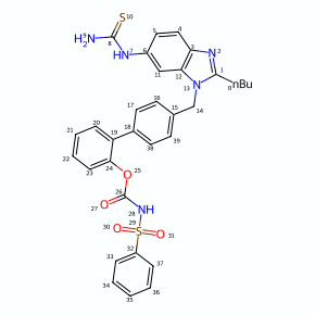 CCCCc1nc2ccc(NC(N)=S)cc2n1Cc1ccc(-c2ccccc2OC(=O)NS(=O)(=O)c2ccccc2)cc1